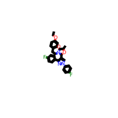 CCOc1ccc(CCN2C(=O)C(C)OC2c2cn(-c3ccc(F)cc3)nc2-c2ccc(F)cc2)cc1